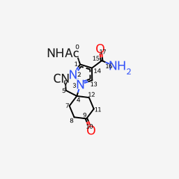 CC(=O)Nc1nn(C2(CC#N)CCC(=O)CC2)cc1C(N)=O